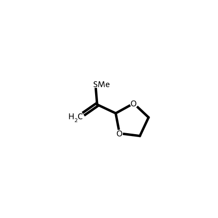 C=C(SC)C1OCCO1